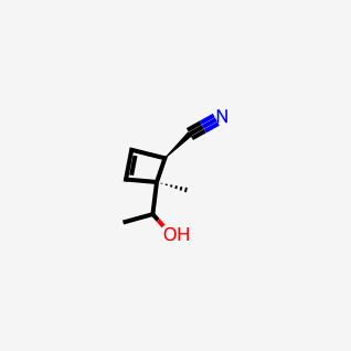 CC(O)[C@@]1(C)C=C[C@H]1C#N